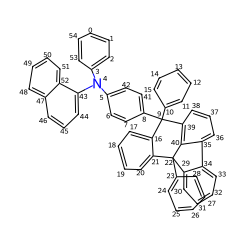 c1ccc(N(c2ccc(C3(c4ccccc4)c4ccccc4C4(c5ccccc5)c5ccccc5-c5cccc3c54)cc2)c2cccc3ccccc23)cc1